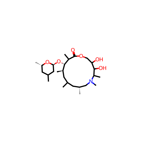 CC1C[C@@H](C)CN(C)C(C)C(O)C(O)COC(=O)C(C)[C@@H](O[C@H]2CC(C)C[C@H](C)O2)[C@H](C)C1